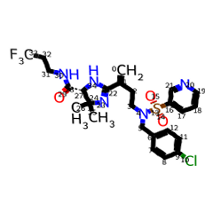 C=C(CCN(Cc1ccc(Cl)cc1)S(=O)(=O)c1cccnc1)C1=NC(C)(C)[C@H](C(=O)NCCC(F)(F)F)N1